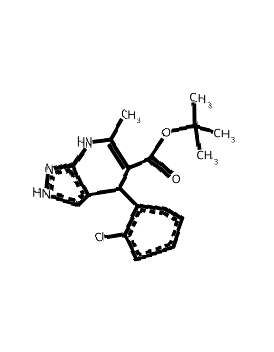 CC1=C(C(=O)OC(C)(C)C)C(c2ccccc2Cl)c2c[nH]nc2N1